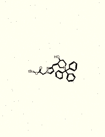 CC(C)(C)OC(=O)Cn1ccc(/C=C2\CN(C(c3ccccc3)(c3ccccc3)c3ccccc3)CCC2O)n1